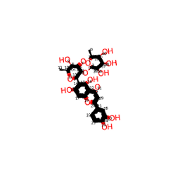 C[C@@H]1O[C@@H](O[C@H]2C(=O)[C@@H](O)[C@H](C)O[C@@H]2c2c(O)cc3oc(-c4ccc(O)c(O)c4)cc(=O)c3c2O)[C@H](O)[C@H](O)[C@H]1O